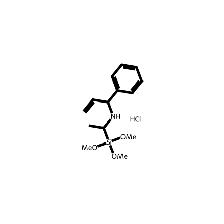 C=CC(NC(C)[Si](OC)(OC)OC)c1ccccc1.Cl